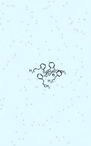 C=CCc1ccccc1OP(=O)(Oc1ccccc1CC=C)OP(=O)(Oc1ccccc1CC=C)Oc1ccccc1CC=C